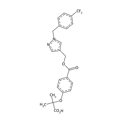 CC(C)(Oc1ccc(C(=O)OCc2cnn(Cc3ccc(C(F)(F)F)cc3)c2)cc1)C(=O)O